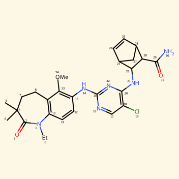 CCN1C(=O)C(C)(C)CCc2c1ccc(Nc1ncc(Cl)c(NC3C4C=CC(C4)C3C(N)=O)n1)c2OC